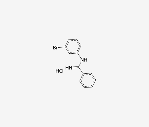 Cl.N=C(Nc1cccc(Br)c1)c1ccccc1